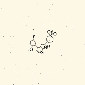 COc1ccc(F)cc1-c1ccnc2[nH]c(C3=CCN(S(C)(=O)=O)CCC3)cc12